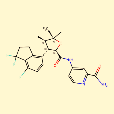 C[C@@H]1[C@@H](c2ccc(F)c3c2CCC3(F)F)[C@H](C(=O)Nc2ccnc(C(N)=O)c2)O[C@]1(C)C(F)(F)F